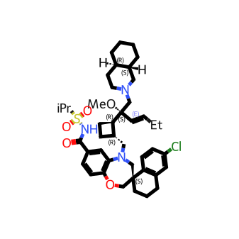 CC/C=C/[C@@](CN1CC[C@H]2CCCC[C@@H]2C1)(OC)[C@@H]1CC[C@H]1CN1C[C@@]2(CCCc3cc(Cl)ccc32)COc2ccc(C(=O)NS(=O)(=O)C(C)C)cc21